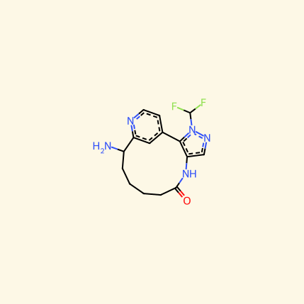 NC1CCCCC(=O)Nc2cnn(C(F)F)c2-c2ccnc1c2